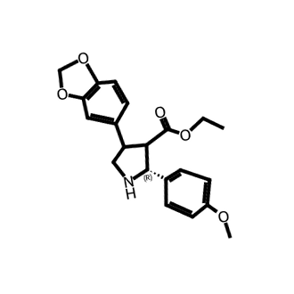 CCOC(=O)C1C(c2ccc3c(c2)OCO3)CN[C@H]1c1ccc(OC)cc1